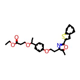 CCOC(=O)CCOC(C)c1ccc(OCCc2nc(-c3cc4ccccc4s3)oc2C)cc1